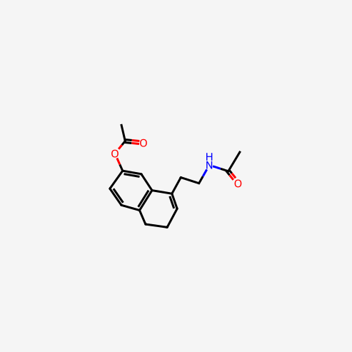 CC(=O)NCCC1=CCCc2ccc(OC(C)=O)cc21